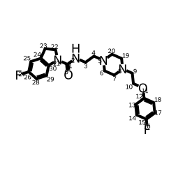 O=C(NCCN1CCN(CCOc2ccc(F)cc2)CC1)N1CCc2cc(F)ccc21